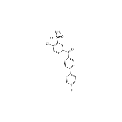 NS(=O)(=O)c1cc(C(=O)c2ccc(-c3ccc(F)cc3)cc2)ccc1Cl